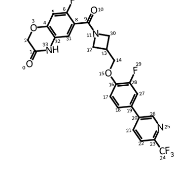 O=C1COc2cc(F)c(C(=O)N3CC(COc4ccc(-c5ccc(C(F)(F)F)nc5)cc4F)C3)cc2N1